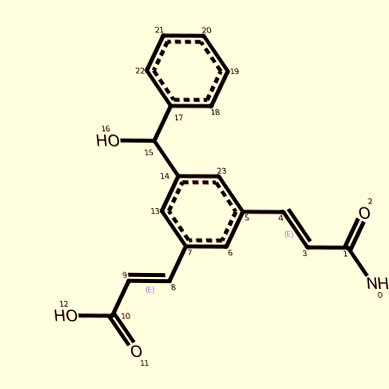 NC(=O)/C=C/c1cc(/C=C/C(=O)O)cc(C(O)c2ccccc2)c1